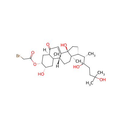 C[C@H](C(O)CCC(C)(C)O)[C@H]1CC[C@@]2(O)C3=CC(=O)[C@@H]4C[C@@H](OC(=O)CBr)[C@@H](O)C[C@]4(C)[C@H]3CC[C@]12C